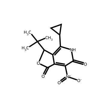 CC(C)(C)C1OC(=O)c2c1c(C1CC1)[nH]c(=O)c2[N+](=O)[O-]